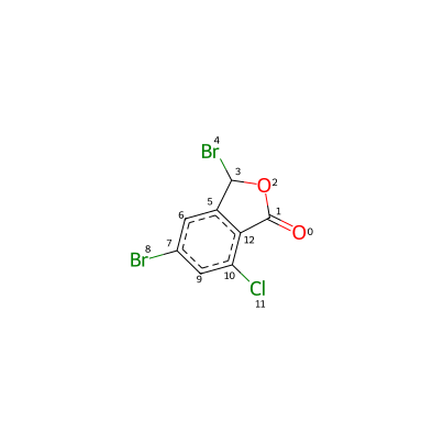 O=C1OC(Br)c2cc(Br)cc(Cl)c21